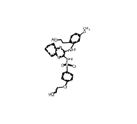 COc1ccc(CCO)c(Nc2nc3ccccc3nc2NS(=O)(=O)c2ccc(OCCO)cc2)c1